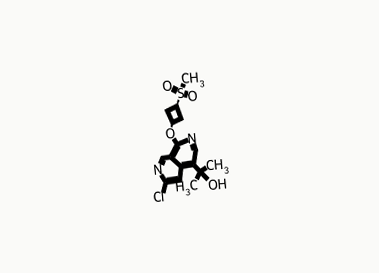 CC(C)(O)c1cnc(O[C@H]2C[C@@H](S(C)(=O)=O)C2)c2cnc(Cl)cc12